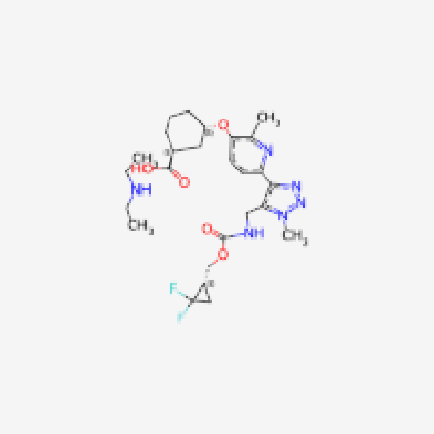 CCNCC.Cc1nc(-c2nnn(C)c2CNC(=O)OC[C@@H]2CC2(F)F)ccc1O[C@H]1CCC[C@H](C(=O)O)C1